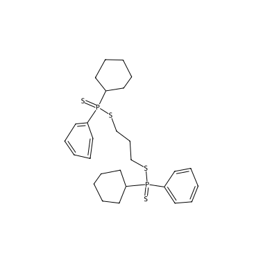 S=P(SCCCSP(=S)(c1ccccc1)C1CCCCC1)(c1ccccc1)C1CCCCC1